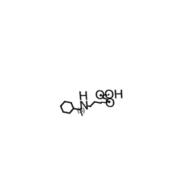 C[C@H](NCCCS(=O)(=O)O)C1CCCCC1